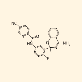 CC1(c2cc(NC(=O)c3ccc(C#N)cn3)ccc2F)N=C(N)c2ccccc2O1